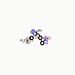 CCCc1c(Cc2ccc(-c3ccccc3-c3noc(=O)[nH]3)cc2)c(=O)n(-c2ccc(OC(C)(C)C(C)=O)cc2)c2ncnn12